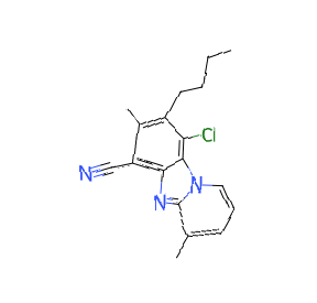 CCCCc1c(C)c(C#N)c2nc3c(C)cccn3c2c1Cl